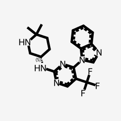 CC1(C)CC[C@H](Nc2ncc(C(F)(F)F)c(-n3cnc4ccccc43)n2)CN1